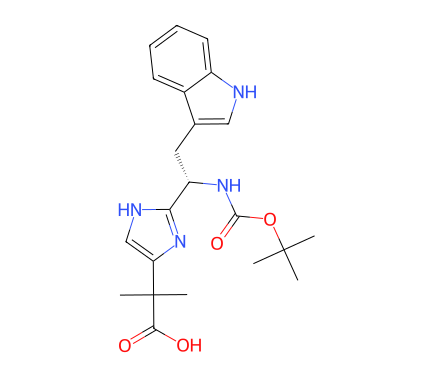 CC(C)(C)OC(=O)N[C@@H](Cc1c[nH]c2ccccc12)c1nc(C(C)(C)C(=O)O)c[nH]1